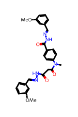 COc1cccc(C=NNC(=O)CC(=O)N(C)c2ccc(C(=O)NN=Cc3cccc(OC)c3)cc2)c1